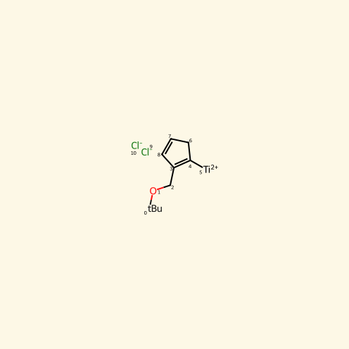 CC(C)(C)OCC1=[C]([Ti+2])CC=C1.[Cl-].[Cl-]